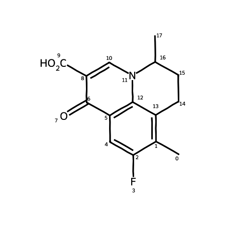 Cc1c(F)cc2c(=O)c(C(=O)O)cn3c2c1CCC3C